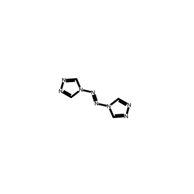 c1nncn1N=Nn1cnnc1